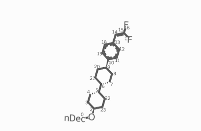 CCCCCCCCCCO[C@H]1CC[C@H]([C@H]2CC[C@H](c3ccc(C=C(F)F)cc3)CC2)CC1